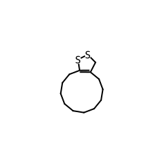 C1CCCCCC2=C(CCCC1)CSS2